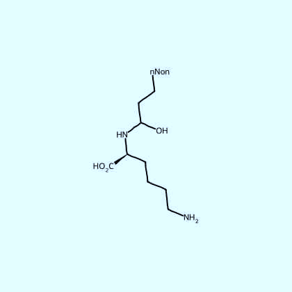 CCCCCCCCCCCC(O)N[C@@H](CCCCN)C(=O)O